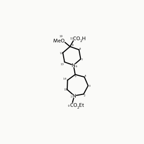 CCOC(=O)N1CCCC(N2CCC(OC)(C(=O)O)CC2)CC1